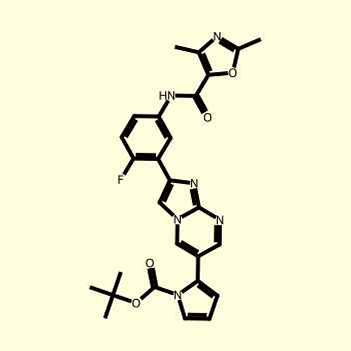 Cc1nc(C)c(C(=O)Nc2ccc(F)c(-c3cn4cc(-c5cccn5C(=O)OC(C)(C)C)cnc4n3)c2)o1